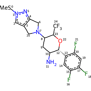 CSn1cc2c(n1)CN(C1CC(N)[C@@H](c3cc(F)c(F)cc3F)OC1C(F)(F)F)C2